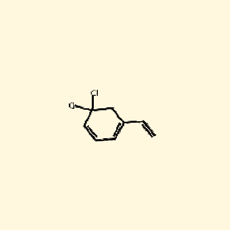 C=CC1=CC=CC(Cl)(Cl)C1